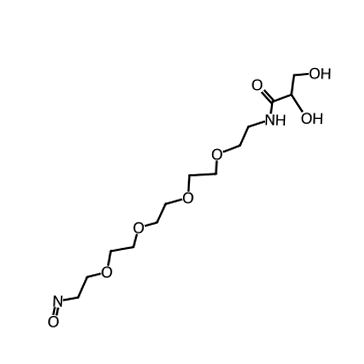 O=NCCOCCOCCOCCOCCNC(=O)C(O)CO